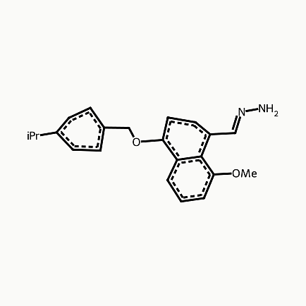 COc1cccc2c(OCc3ccc(C(C)C)cc3)ccc(C=NN)c12